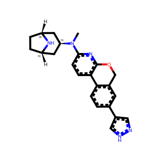 CN(c1ccc2c(n1)OCc1cc(-c3cn[nH]c3)ccc1-2)[C@@H]1C[C@H]2CC[C@@H](C1)N2